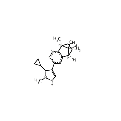 CN1NC=C(c2cc3c(nn2)[C@@]2(C)CC[C@@H]3C2(C)C)C1C1CC1